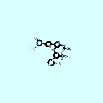 CC(=O)Nc1cc(Nc2cc(N3CCOC[C@@H]3C)cc(S(C)(=O)=O)n2)c(-c2ccc(N3C[C@@H](C)O[C@@H](C)C3)cn2)cn1